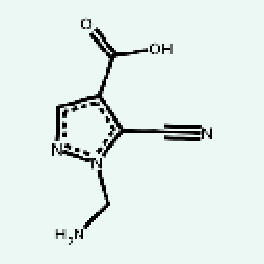 N#Cc1c(C(=O)O)cnn1CN